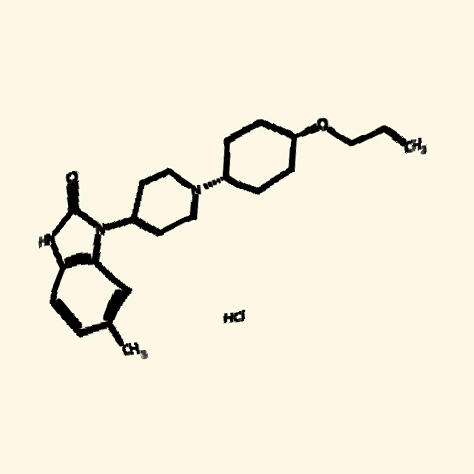 CCCO[C@H]1CC[C@H](N2CCC(n3c(=O)[nH]c4ccc(C)cc43)CC2)CC1.Cl